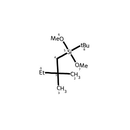 CCC(C)(C)C[Si](OC)(OC)C(C)(C)C